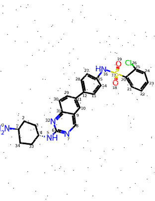 N[C@H]1CC[C@H](Nc2ncc3cc(-c4ccc(NS(=O)(=O)c5ccccc5Cl)cc4)ccc3n2)CC1